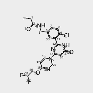 CCC(=O)NCc1ccc(Cl)c(-c2nc(N3C=CC(OCC(F)F)=NC3)cc(=O)[nH]2)c1